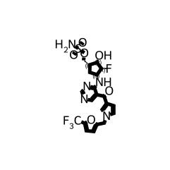 NS(=O)(=O)OC[C@H]1C[C@@H](Nc2ncncc2C(=O)c2ccn(Cc3ccc(C(F)(F)F)o3)c2)[C@@H](F)[C@@H]1O